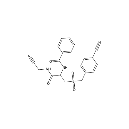 N#CCNC(=O)C(CS(=O)(=O)Cc1ccc(C#N)cc1)NC(=O)c1ccccc1